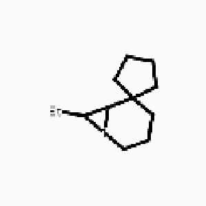 CCC1C2I1CCCC21CCCC1